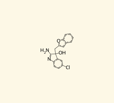 NC1=Nc2ccc(Cl)cc2C1(O)Cc1cc2ccccc2o1